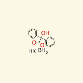 BOC(=O)C(O)(c1ccccc1)c1ccccc1.[KH]